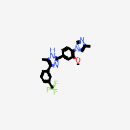 COc1cc(-c2nc(-c3cccc(C(F)(F)F)c3)c(C)[nH]2)ccc1-n1cnc(C)c1